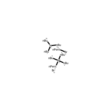 CCCCCBr.CCCCC[N+](CCCC)(CCCC)CCCC.CCCCN(CCCC)CCCC.[Br-]